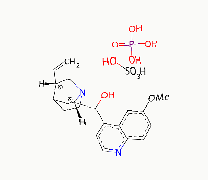 C=C[C@@H]1CN2CCC1C[C@H]2C(O)c1ccnc2ccc(OC)cc12.O=P(O)(O)O.O=S(=O)(O)O